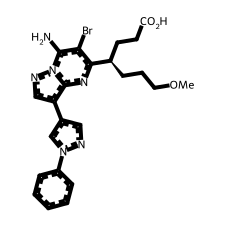 COCCC[C@H](CCC(=O)O)c1nc2c(-c3cnn(-c4ccccc4)c3)cnn2c(N)c1Br